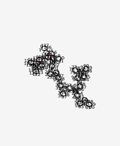 c1ccc(-c2ccc(-c3ccccc3N(c3ccc(-c4cccc5c4oc4ccc(-c6ccc(-c7ccccc7)c(-c7ccc(N(c8ccc(-c9cccc%10c9oc9ccccc9%10)cc8)c8cccc(-c9ccc(-c%10ccccc%10-n%10c%11ccccc%11c%11ccccc%11%10)cc9)c8)cc7)c6)cc45)cc3)c3cccc(-c4ccc(-c5ccccc5-n5c6ccccc6c6ccccc65)cc4)c3)cc2)cc1